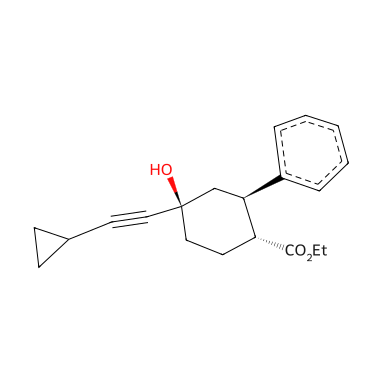 CCOC(=O)[C@@H]1CC[C@](O)(C#CC2CC2)C[C@H]1c1ccccc1